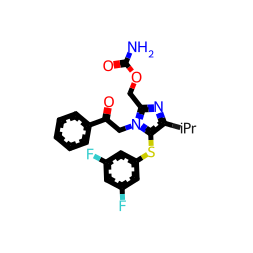 CC(C)c1nc(COC(N)=O)n(CC(=O)c2ccccc2)c1Sc1cc(F)cc(F)c1